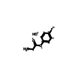 Cl.NCC(=O)Oc1ccc(F)cc1